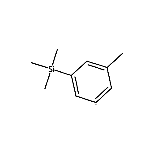 Cc1c[c]cc([Si](C)(C)C)c1